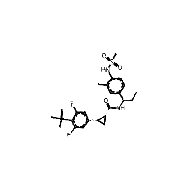 CC[C@@H](NC(=O)[C@@H]1C[C@@H]1c1cc(F)c(C(C)(C)C)c(F)c1)c1ccc(NS(C)(=O)=O)c(C)c1